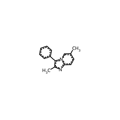 Cc1ccc2nc(C)c(-c3ccccc3)n2c1